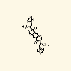 CC(Cn1ncnn1)n1cnc2cc3c(=O)n(C(C)Cn4ncnn4)nnc3cc2c1=O